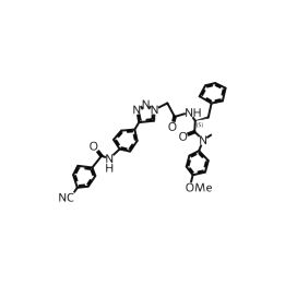 COc1ccc(N(C)C(=O)[C@H](Cc2ccccc2)NC(=O)Cn2cc(-c3ccc(NC(=O)c4ccc(C#N)cc4)cc3)nn2)cc1